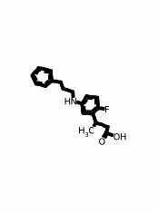 CC(CC(=O)O)c1cc(NCCCc2ccccc2)ccc1F